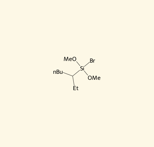 CCCCC(CC)[Si](Br)(OC)OC